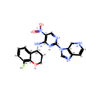 O=[N+]([O-])c1cnc(-n2cnc3c2CNC=C3)nc1N[C@@H]1CCOc2c(F)cccc21